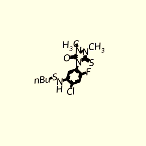 CCCCSNc1cc(-n2c(=O)n(C)n(C)c2=S)c(F)cc1Cl